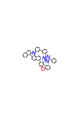 c1ccc(-c2nc(-c3cccc(-c4cccc(-n5c6ccc7ccccc7c6c6ccc7ccccc7c65)c4)c3)nc(-c3cccc4oc5ccccc5c34)n2)cc1